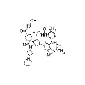 CNC(=O)c1cc(Nc2nc(-c3ccc4c(c3)N([C@H]3C[C@@H](N5CCCCC5)C3)C(=O)C43CCN(C(=O)C45CC(O)(C4)C5)CC3)cc3ncn(C(C)C)c23)ccc1C